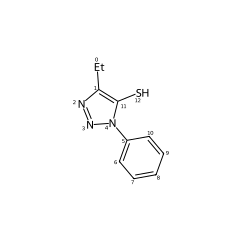 CCc1nnn(-c2ccccc2)c1S